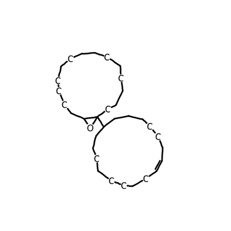 C1=CCCCCCCC(C23CCCCCCCCCCCCCCC2O3)CCCCCCCC1